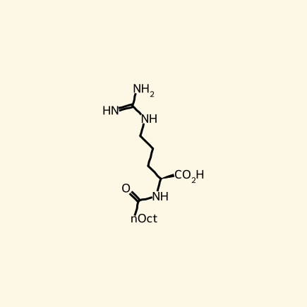 CCCCCCCCC(=O)N[C@@H](CCCNC(=N)N)C(=O)O